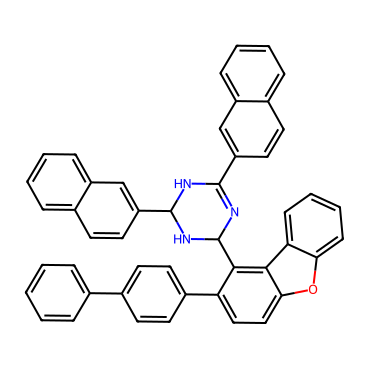 c1ccc(-c2ccc(-c3ccc4oc5ccccc5c4c3C3N=C(c4ccc5ccccc5c4)NC(c4ccc5ccccc5c4)N3)cc2)cc1